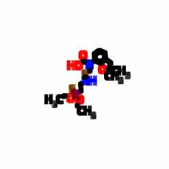 CCOP(=S)(CCNSCN(C(=O)O)c1cccc2c1OC(C)(C)C2)OCC